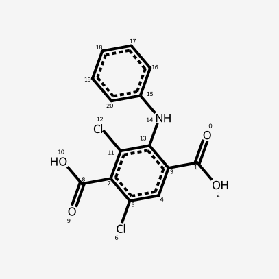 O=C(O)c1cc(Cl)c(C(=O)O)c(Cl)c1Nc1ccccc1